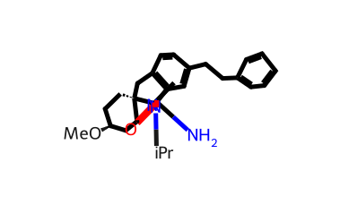 CO[C@H]1CC[C@]2(CC1)Cc1ccc(CCc3ccccc3)cc1[C@@]21N=C(N)N(C(C)C)C1=O